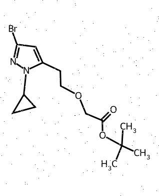 CC(C)(C)OC(=O)COCCc1cc(Br)nn1C1CC1